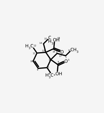 CCCC1(C(=O)O)C(C)C=CC(C)C1(CC)C(=O)O